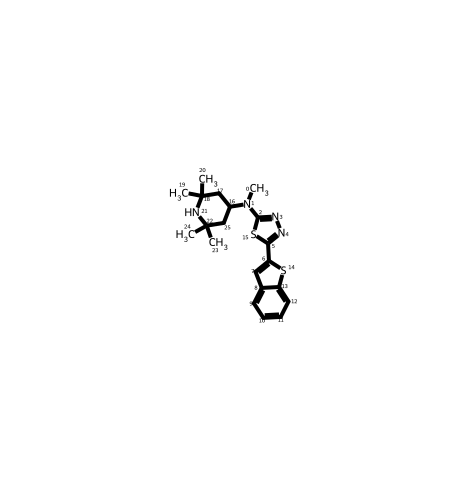 CN(c1nnc(-c2cc3ccccc3s2)s1)C1CC(C)(C)NC(C)(C)C1